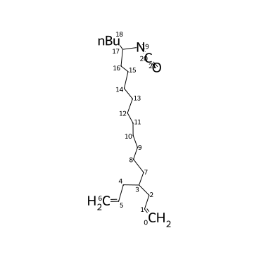 C=CCC(CC=C)CCCCCCCCCCC(CCCC)N=C=O